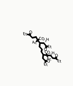 CCC(=O)CCC(C(C)=O)(C(=O)O)C(CCCC(CC(=O)CC)C(CCC(=O)CC)(C(C)=O)C(=O)O)CC(=O)CC